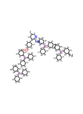 Cc1cnc(N)c(-c2ccc(O)cc2)c1.[Pd].c1ccc(P(c2ccccc2)c2ccccc2)cc1.c1ccc(P(c2ccccc2)c2ccccc2)cc1.c1ccc(P(c2ccccc2)c2ccccc2)cc1.c1ccc(P(c2ccccc2)c2ccccc2)cc1